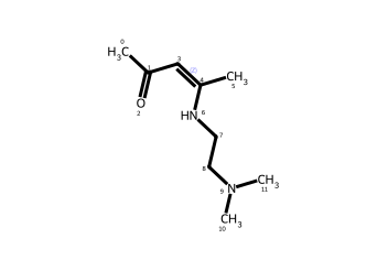 CC(=O)/C=C(/C)NCCN(C)C